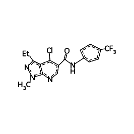 CCc1nn(C)c2ncc(C(=O)Nc3ccc(C(F)(F)F)cc3)c(Cl)c12